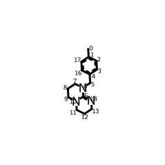 Cc1ccc(CN2CCCN3CCCN=C32)cc1